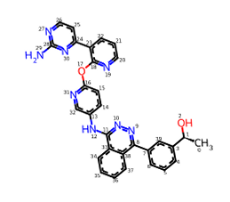 C[C@H](O)c1cccc(-c2nnc(Nc3ccc(Oc4ncccc4-c4ccnc(N)n4)nc3)c3ccccc23)c1